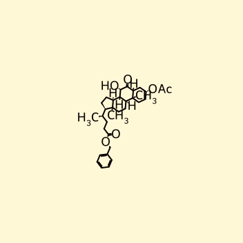 CC(=O)O[C@@H]1CC[C@@]2(C)[C@@H](C1)C(=O)[C@@H](O)[C@@H]1[C@@H]2CC[C@]2(C)[C@@H]([C@H](C)CCC(=O)OCc3ccccc3)CC[C@@H]12